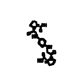 O=C(O)[C@H]1CCCN1C(=O)CNc1ccc(NCC(=O)N2CCC[C@@H]2C(=O)O)cc1